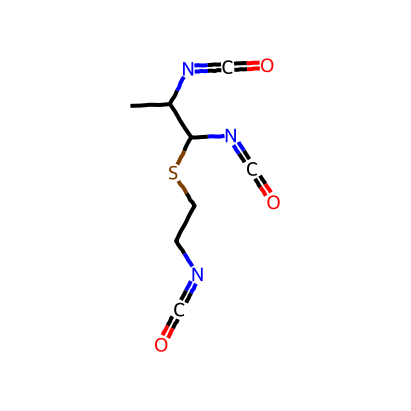 CC(N=C=O)C(N=C=O)SCCN=C=O